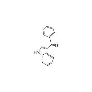 O=C(c1ccccc1)c1c[nH]c2ccccc12